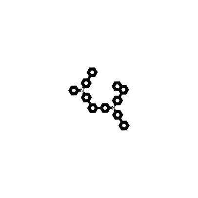 c1ccc(-c2ccc(N(c3ccccc3)c3ccc(-c4cccc(-c5ccc(N(c6ccc(-c7ccccc7)cc6)c6ccc(-c7cccc8ccccc78)cc6)cc5)c4)cc3)cc2)cc1